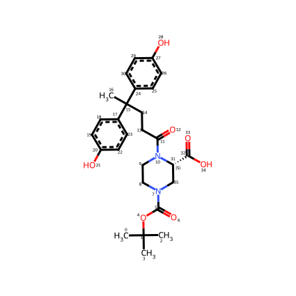 CC(C)(C)OC(=O)N1CCN(C(=O)CCC(C)(c2ccc(O)cc2)c2ccc(O)cc2)[C@H](C(=O)O)C1